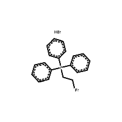 Br.CC(C)CC[P](c1ccccc1)(c1ccccc1)c1ccccc1